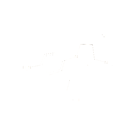 Nc1ccc(N2CC(N)C(N)C2)c(CCO)c1